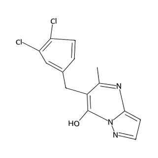 Cc1nc2ccnn2c(O)c1Cc1ccc(Cl)c(Cl)c1